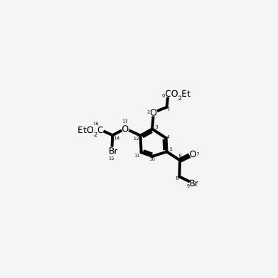 CCOC(=O)COc1cc(C(=O)CBr)ccc1OC(Br)C(=O)OCC